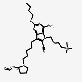 CCCCOc1nc(N)c2c(n1)c(CCCCCN1CCC[C@H]1NC=O)c(C#N)n2COCC[Si](C)(C)C